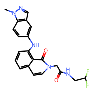 Cn1ncc2cc(Nc3cccc4ccn(CC(=O)NCC(F)F)c(=O)c34)ccc21